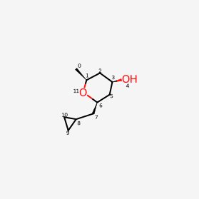 C[C@H]1C[C@@H](O)C[C@@H](CC2CC2)O1